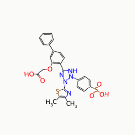 Cc1nc(N2N=C(c3ccc(-c4ccccc4)cc3OCC(=O)O)NN2c2ccc(S(=O)(=O)O)cc2)sc1C